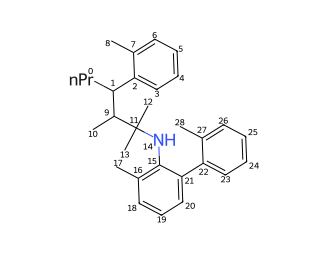 CCCC(c1ccccc1C)C(C)C(C)(C)Nc1c(C)cccc1-c1ccccc1C